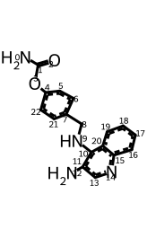 NC(=O)Oc1ccc(CNc2c(N)cnc3ccccc23)cc1